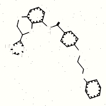 O=C(Nc1cccc2c1OC(c1nnn[nH]1)CO2)c1ccc(OCCSc2ccccc2)cc1